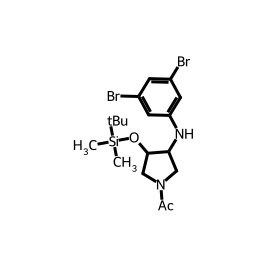 CC(=O)N1CC(Nc2cc(Br)cc(Br)c2)C(O[Si](C)(C)C(C)(C)C)C1